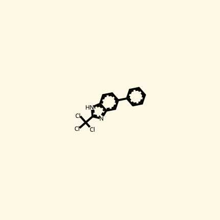 ClC(Cl)(Cl)c1nc2cc(-c3ccccc3)ccc2[nH]1